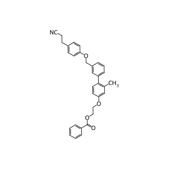 Cc1cc(OCCOC(=O)c2ccccc2)ccc1-c1cccc(COc2ccc(CCC#N)cc2)c1